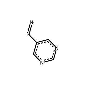 [N]=Nc1cncnc1